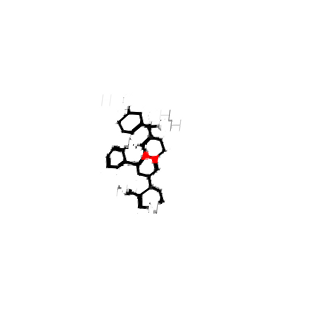 CC1CCC2=C(C1)C(C)(C)C1=C(CCCC1)N2c1ccccc1C1=CC=CC(C2CC=NC=C2C#N)C1